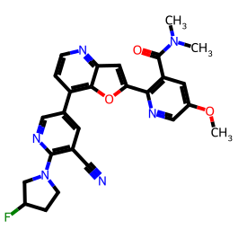 COc1cnc(-c2cc3nccc(-c4cnc(N5CCC(F)C5)c(C#N)c4)c3o2)c(C(=O)N(C)C)c1